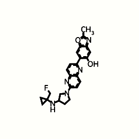 Cc1nc2cc(O)c(-c3ccc4nc(N5CCC(NC6(CF)CC6)C5)ccc4n3)cc2o1